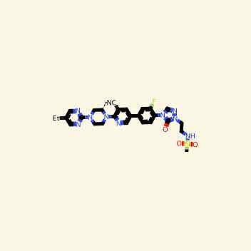 CCc1cnc(N2CCN(c3ncc(-c4ccc(-n5cnn(CCNS(C)(=O)=O)c5=O)c(F)c4)cc3C#N)[C@@H](C)C2)nc1